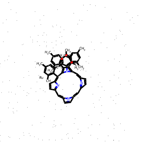 Cc1cc(C)c(-c2c(-c3c(C)cc(C)cc3C)c3c(-c4c(C)cc(C)cc4C)c4nc(cc5ccc(cc6nc(cc2n3-c2c(C)cc(C)cc2C)C=C6)[nH]5)C=C4)c(C)c1.[Ru]